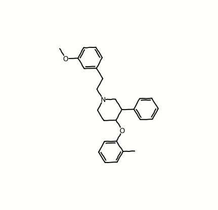 COc1cccc(CCN2CCC(Oc3ccccc3C)C(c3ccccc3)C2)c1